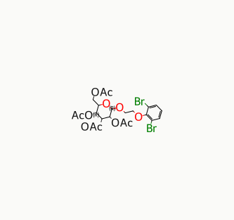 CC(=O)OCC1O[C@@H](OCCOc2c(Br)cccc2Br)C(OC(C)=O)C(OC(C)=O)[C@@H]1OC(C)=O